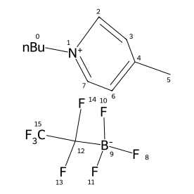 CCCC[n+]1ccc(C)cc1.F[B-](F)(F)C(F)(F)C(F)(F)F